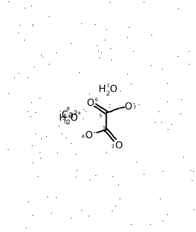 O.O.O=C([O-])C(=O)[O-].[Ca+2]